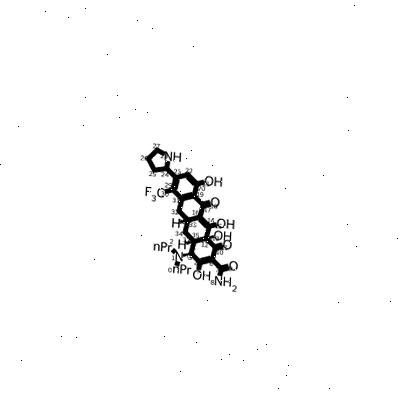 CCCN(CCC)[C@@H]1C(O)=C(C(N)=O)C(=O)[C@@]2(O)C(O)=C3C(=O)c4c(O)cc(C5CCCN5)c(C(F)(F)F)c4C[C@H]3C[C@@H]12